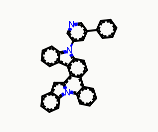 c1ccc(-c2cncc(-n3c4ccccc4c4c5c(ccc43)c3ccccc3n3c4ccccc4cc53)c2)cc1